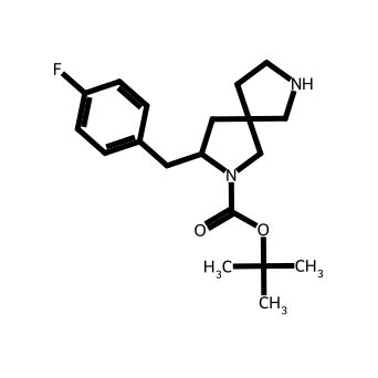 CC(C)(C)OC(=O)N1CC2(CCNC2)CC1Cc1ccc(F)cc1